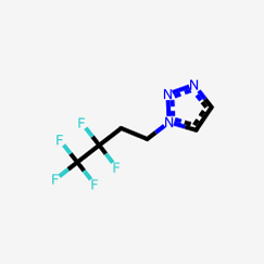 FC(F)(F)C(F)(F)CCn1ccnn1